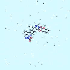 CCCCc1nc(C)nc(OC(Cc2ccccc2)C(=O)OC)c1Cc1ccc(-c2ccccc2-c2noc(=O)[nH]2)cc1